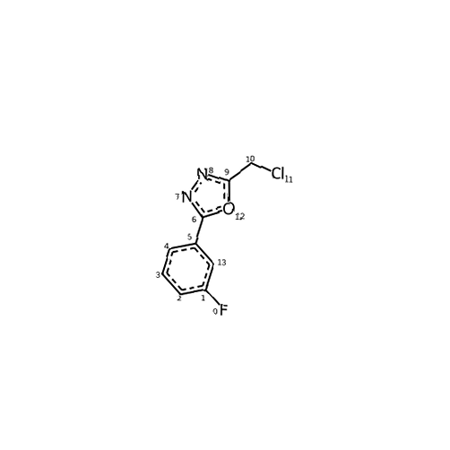 Fc1cccc(-c2nnc(CCl)o2)c1